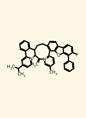 C=C1C2C(CCc3ccc4c(oc5c(-c6ccccc6)c(F)ccc54)c3-c3ccc(C)c[n+]31)c1ccccc1-c1cc(C(C)C)cc[n+]12